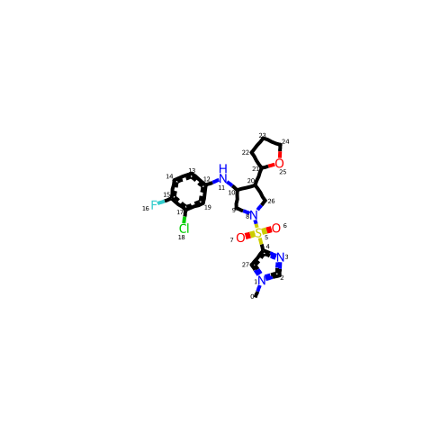 Cn1cnc(S(=O)(=O)N2CC(Nc3ccc(F)c(Cl)c3)C(C3CCCO3)C2)c1